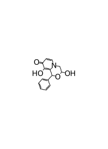 O=c1ccn2c(c1O)C(c1ccccc1)OC(O)C2